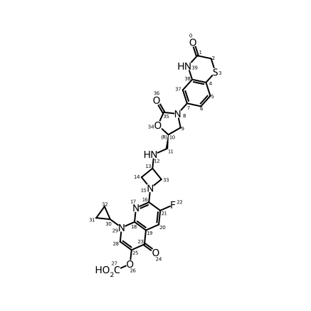 O=C1CSc2ccc(N3C[C@@H](CNC4CN(c5nc6c(cc5F)c(=O)c(OC(=O)O)cn6C5CC5)C4)OC3=O)cc2N1